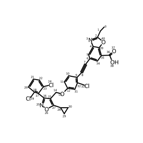 CCc1nc2cc(C#Cc3ccc(OCc4c(-c5c(Cl)cccc5Cl)noc4C4CC4)cc3Cl)cc(C(=O)O)c2o1